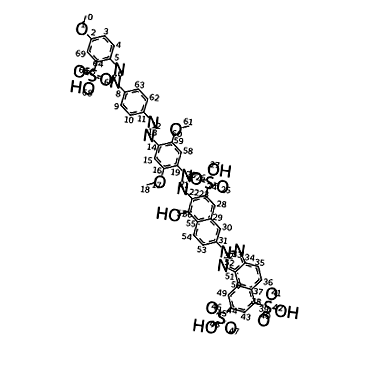 COc1ccc(N=Nc2ccc(N=Nc3cc(OC)c(N=Nc4c(S(=O)(=O)O)cc5cc(-n6nc7ccc8c(S(=O)(=O)O)cc(S(=O)(=O)O)cc8c7n6)ccc5c4O)cc3OC)cc2)c(S(=O)(=O)O)c1